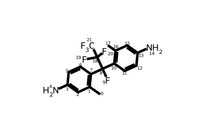 Cc1cc(N)ccc1C(F)(c1ccc(N)cc1C)C(F)(F)C(F)(F)F